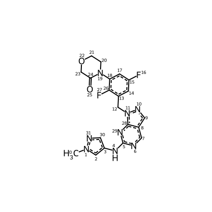 Cn1cc(Nc2ncc3cnn(Cc4cc(F)cc(N5CCOCC5=O)c4F)c3n2)cn1